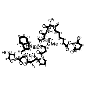 CC[C@H](C)[C@@H]([C@@H](CC(=O)N1CCC[C@H]1[C@H](OC)[C@@H](C)C(=O)N[C@@H](Cc1c[nH]c2ccccc12)C(=O)N1CC(O)CO1)OC)N(C)[C@H](C(=O)NC(=O)[C@H](C(C)C)N(C)CCCCCC(=O)ON1C(=O)CCC1=O)C(C)C